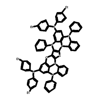 CCc1ccc(N(c2ccc(CC)cc2)c2cc3c4c(c2)N(c2ccccc2)c2ccccc2B4c2sc4c(c2O3)N(c2ccccc2)c2cc(N(c3ccc(CC)cc3)c3ccc(CC)cc3)cc3c2B4c2ccccc2N3c2ccccc2)cc1